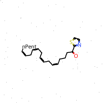 CCCCC/C=C\C/C=C\C/C=C\C/C=C\CCCC(=O)c1nccs1